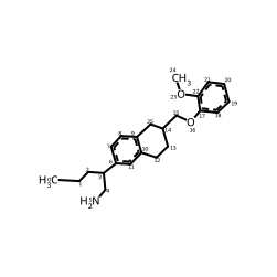 CCCC(CN)c1ccc2c(c1)CCC(COc1ccccc1OC)C2